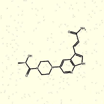 C[C@@H](O)C(=O)N1CCN(c2cnc3[nH]cc(C=CC(N)=O)c3c2)CC1